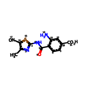 Cc1nc(NC(=O)c2ccc(C(=O)O)cc2N)sc1N=O